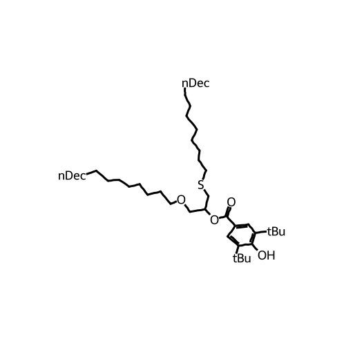 CCCCCCCCCCCCCCCCCCOCC(CSCCCCCCCCCCCCCCCCCC)OC(=O)c1cc(C(C)(C)C)c(O)c(C(C)(C)C)c1